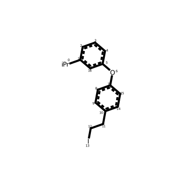 CC(C)c1cccc(Oc2ccc(CCI)cc2)c1